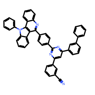 N#Cc1cccc(-c2cc(-c3cccc(-c4ccccc4)c3)nc(-c3ccc(-c4nc5ccccc5c5c4c4ccccc4n5-c4ccccc4)cc3)n2)c1